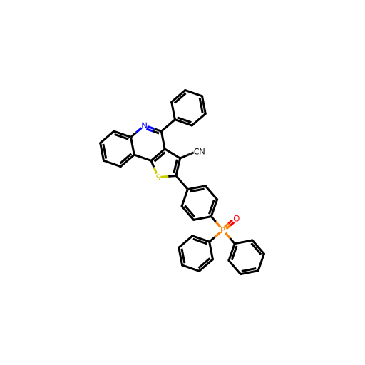 N#Cc1c(-c2ccc(P(=O)(c3ccccc3)c3ccccc3)cc2)sc2c1c(-c1ccccc1)nc1ccccc12